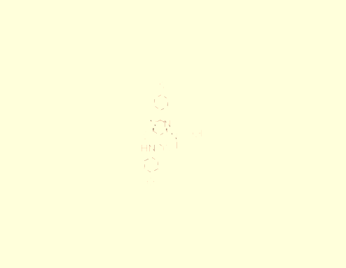 COc1ccc(NC(=O)c2c(NCCO)nc(-c3ccc(SC)cc3)nc2SC)cc1